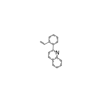 C=Cc1ccccc1-c1ccc2ccccc2n1